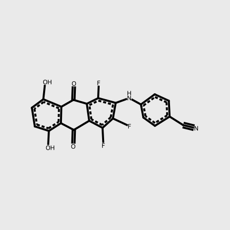 N#Cc1ccc(Nc2c(F)c(F)c3c(c2F)C(=O)c2c(O)ccc(O)c2C3=O)cc1